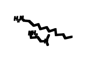 CCCCCCCCCCCCN.CN(C)CCCN